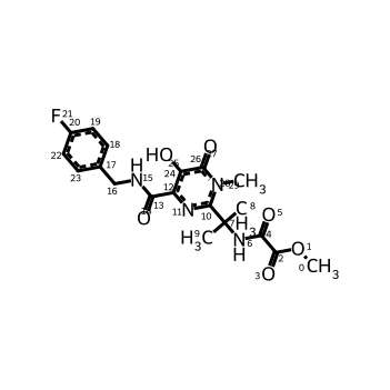 COC(=O)C(=O)NC(C)(C)c1nc(C(=O)NCc2ccc(F)cc2)c(O)c(=O)n1C